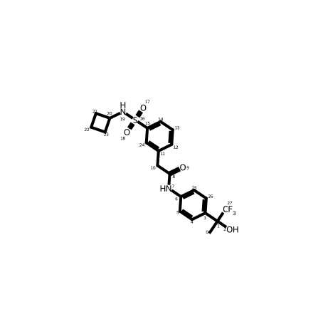 CC(O)(c1ccc(NC(=O)Cc2cccc(S(=O)(=O)NC3CCC3)c2)cc1)C(F)(F)F